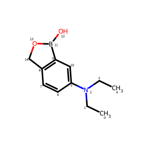 CCN(CC)c1ccc2c(c1)B(O)OC2